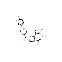 Cc1ccc(N2CCC(C(=O)N3C=CC4=C(C3)c3cnn(C)c3NC=C4Cl)CC2)cn1